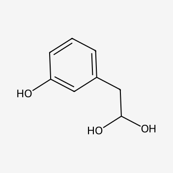 Oc1cccc(CC(O)O)c1